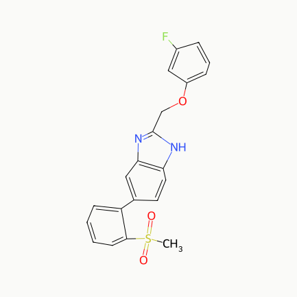 CS(=O)(=O)c1ccccc1-c1ccc2[nH]c(COc3cccc(F)c3)nc2c1